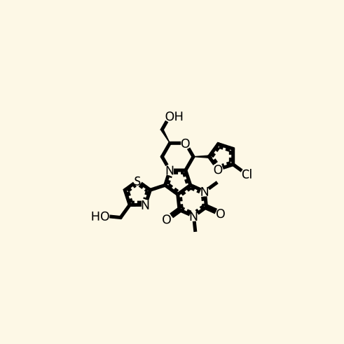 Cn1c(=O)c2c(-c3nc(CO)cs3)n3c(c2n(C)c1=O)[C@H](c1ccc(Cl)o1)O[C@H](CO)C3